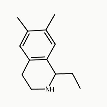 CCC1NCCc2cc(C)c(C)cc21